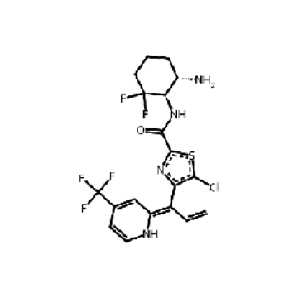 C=C/C(=C1/C=C(C(F)(F)F)C=CN1)c1nc(C(=O)N[C@@H]2[C@@H](N)CCCC2(F)F)sc1Cl